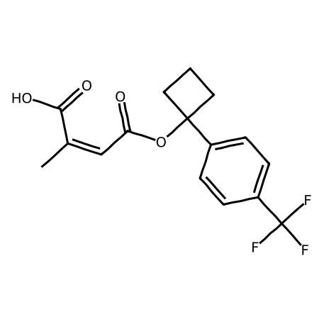 CC(=CC(=O)OC1(c2ccc(C(F)(F)F)cc2)CCC1)C(=O)O